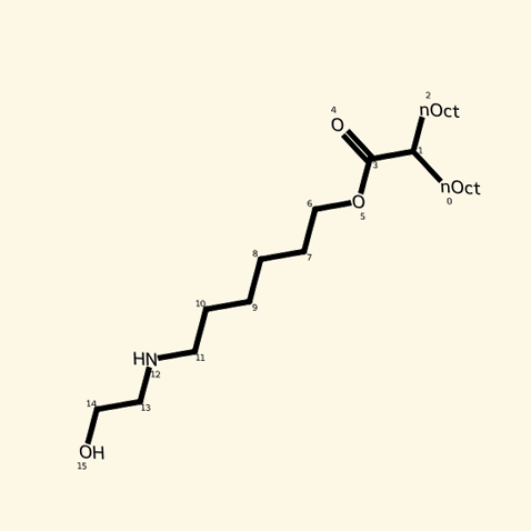 CCCCCCCCC(CCCCCCCC)C(=O)OCCCCCCNCCO